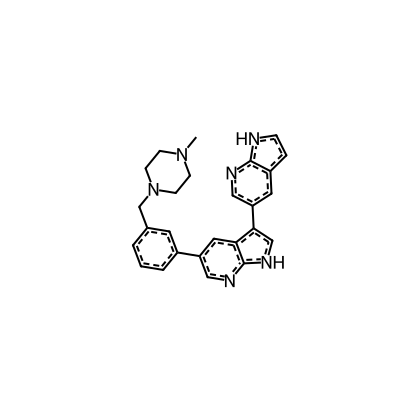 CN1CCN(Cc2cccc(-c3cnc4[nH]cc(-c5cnc6[nH]ccc6c5)c4c3)c2)CC1